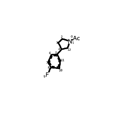 [CH2]C(=O)N1CCC(c2ccc(F)cc2)C1